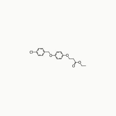 CCOC(=O)CCOc1ccc(OCc2ccc(Cl)cc2)cc1